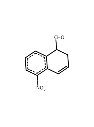 O=CC1CC=Cc2c1cccc2[N+](=O)[O-]